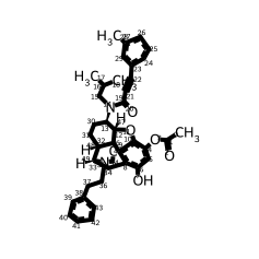 CC(=O)Oc1cc(O)c2c3c1O[C@H]1[C@H](N(CC(C)C)C(=O)C#Cc4cccc(C)c4)CC[C@H]4[C@@H](C2)N(CCc2ccccc2)CC[C@@]341